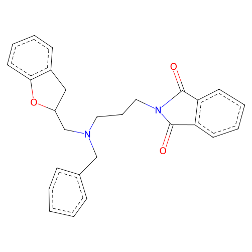 O=C1c2ccccc2C(=O)N1CCCN(Cc1ccccc1)CC1Cc2ccccc2O1